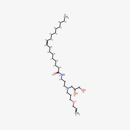 C=CCOCCCN(CCCNC(=O)CCCCCCC/C=C\CCCCCCCC)CC(O)CO